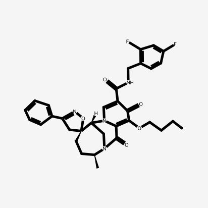 CCCCOc1c2n(cc(C(=O)NCc3ccc(F)cc3F)c1=O)[C@@H]1CN(C2=O)[C@@H](C)CC[C@]12CC(c1ccccc1)=NO2